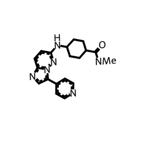 CNC(=O)C1CCC(Nc2ccc3ncc(-c4ccncc4)n3n2)CC1